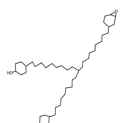 OC1CCC(CCCCCCCCCC(CCCCCCCCCC2CCC(O)CC2)CCCCCCCCCC2CCC3OC3C2)CC1